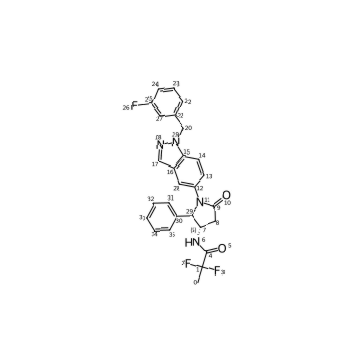 CC(F)(F)C(=O)N[C@H]1CC(=O)N(c2ccc3c(cnn3Cc3cccc(F)c3)c2)C1c1ccccc1